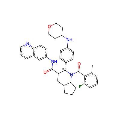 Cc1cccc(F)c1C(=O)N1C2CCCC2CC(C(=O)Nc2ccc3ncccc3c2)[C@@H]1c1ccc(NC2CCOCC2)cc1